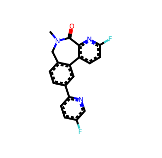 CN1Cc2ccc(-c3ccc(F)cn3)cc2-c2ccc(F)nc2C1=O